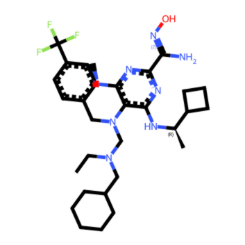 C=Nc1nc(/C(N)=N/O)nc(N[C@H](C)C2CCC2)c1N(Cc1ccc(C(F)(F)F)cc1)CN(CC)CC1CCCCC1